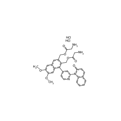 COc1cc2cc(COC(=O)CN)c(COC(=O)CN)c(-c3ccnc(-n4c(=O)ccc5ccccc54)c3)c2cc1OC.Cl.Cl